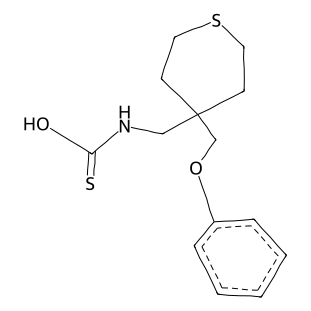 OC(=S)NCC1(COc2ccccc2)CCSCC1